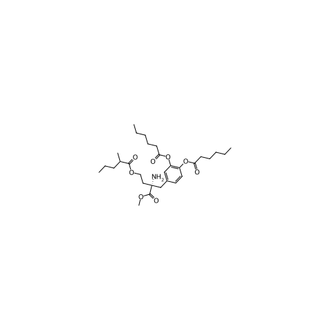 CCCCCC(=O)Oc1ccc(C[C@](N)(CCOC(=O)C(C)CCC)C(=O)OC)cc1OC(=O)CCCCC